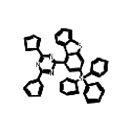 C1=CCC(c2nc(-c3ccccc3)nc(-c3cc([Si](c4ccccc4)(c4ccccc4)c4ccccc4)cc4sc5ccccc5c34)n2)=C1